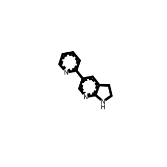 c1ccc(-c2cnc3c(c2)CCN3)nc1